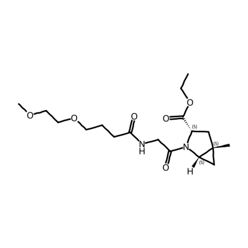 CCOC(=O)[C@@H]1C[C@]2(C)C[C@@H]2N1C(=O)CNC(=O)CCCOCCOC